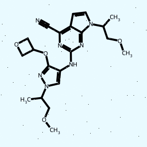 COCC(C)n1cc(Nc2nc(C#N)c3ccn(C(C)COC)c3n2)c(OC2COC2)n1